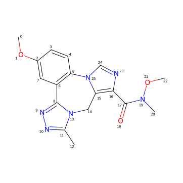 COc1ccc2c(c1)-c1nnc(C)n1Cc1c(C(=O)N(C)OC)ncn1-2